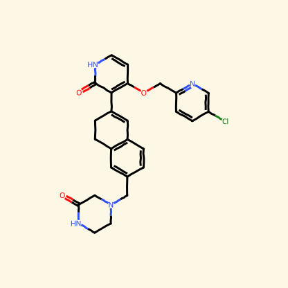 O=C1CN(Cc2ccc3c(c2)CCC(c2c(OCc4ccc(Cl)cn4)cc[nH]c2=O)=C3)CCN1